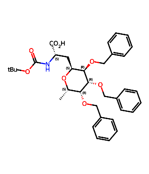 C[C@@H]1O[C@@H](C[C@H](NC(=O)OC(C)(C)C)C(=O)O)[C@@H](OCc2ccccc2)[C@H](OCc2ccccc2)[C@@H]1OCc1ccccc1